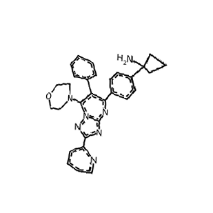 NC1(c2ccc(-c3nc4nc(-c5ccccn5)nn4c(N4CCOCC4)c3-c3ccccc3)cc2)CCC1